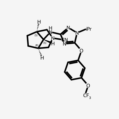 CC(C)n1nc(N[C@@H]2[C@@H]3CC[C@H]2CN(C#N)C3)nc1Oc1cccc(OC(F)(F)F)c1